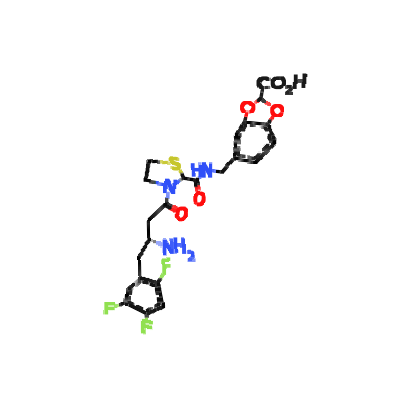 N[C@@H](CC(=O)N1CCSC1C(=O)NCc1ccc2c(c1)OC(C(=O)O)O2)Cc1cc(F)c(F)cc1F